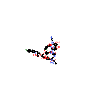 CCC1(NCc2ccc(-c3ccc(Cl)cc3)cc2)C[C@H](OC2[C@@H](Oc3c4cc5cc3Oc3ccc(cc3Cl)[C@@H](O)[C@@H](NC(=O)[C@@H](CC(C)C)NC)C(=O)N[C@@H](CC(N)=O)C(=O)N[C@H]5C(=O)NC3C(=O)N[C@H](C(=O)N[C@H](C(=O)NCCC[N+](C)(C)C)C5=CC(O)CC(O)=C5C5CC3=CC=C5O)[C@H](O)C3=CC=C(O4)C(Cl)C3C)OC(CO)C(O)[C@@H]2O)OC(C)[C@H]1O